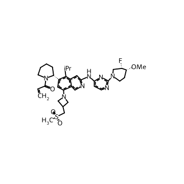 C=CC(=O)N1CCCC[C@@H]1c1cc(N2CC(CS(C)(=O)=O)C2)c2cnc(Nc3ccnc(N4CC[C@@H](OC)[C@@H](F)C4)n3)cc2c1C(C)C